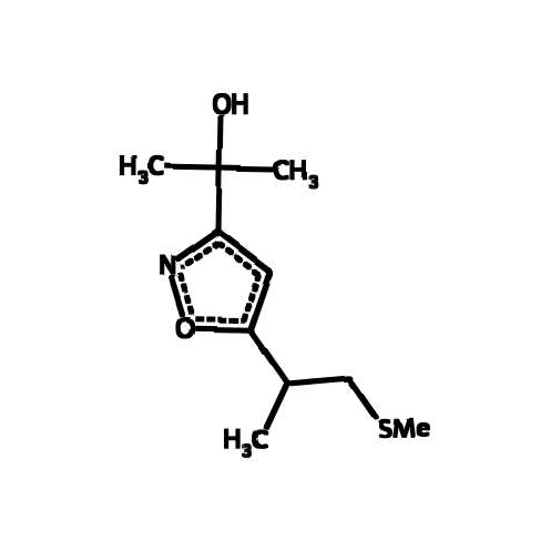 CSCC(C)c1cc(C(C)(C)O)no1